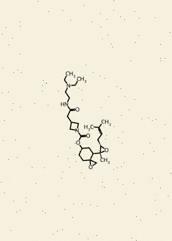 CCN(CC)CCNC(=O)CC1CN(C(=O)OC2CCC3(CO3)C([C@@]3(C)O[C@@H]3CC=C(C)C)C2)C1